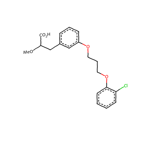 COC(Cc1cccc(OCCCOc2ccccc2Cl)c1)C(=O)O